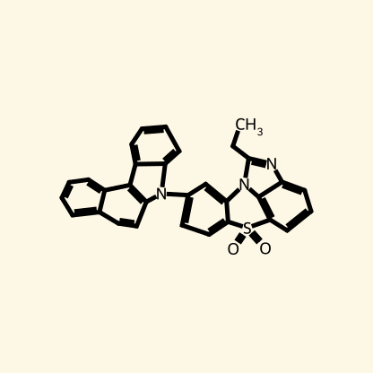 CCc1nc2cccc3c2n1-c1cc(-n2c4ccccc4c4c5ccccc5ccc42)ccc1S3(=O)=O